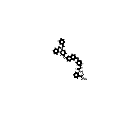 COC(=O)c1ccccc1NC(=O)Cc1ccc(Oc2ccc3cc(OC4CCC(N(Cc5ccccc5)Cc5ccccc5)CC4)ccc3c2)cc1